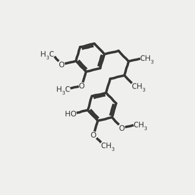 COc1ccc(CC(C)C(C)Cc2cc(O)c(OC)c(OC)c2)cc1OC